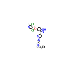 CCOC(=O)N1CC2(C1)CN(c1ccc(-c3n[nH]c4ccc(OC(C)c5c(Cl)cnc(C)c5Cl)cc34)cn1)C2